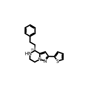 c1ccc(CC[C@@H]2NCCn3nc(-c4cccs4)cc32)cc1